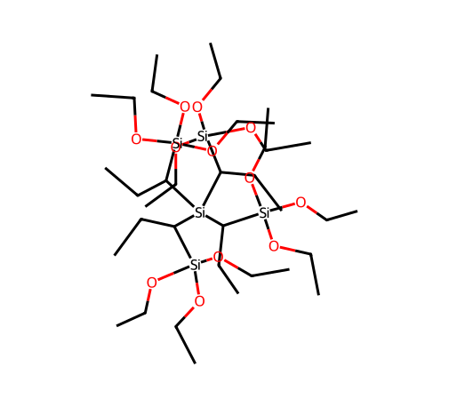 CCO[Si](OCC)(OCC)C(CC)[Si](C(CC)[Si](OCC)(OCC)OCC)(C(CC)[Si](OCC)(OCC)OCC)C(CC)[Si](OCC)(OCC)OCC